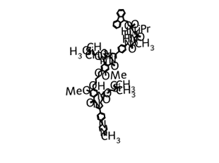 COc1cc2c(cc1OCCCOc1cc3c(cc1OC)C(=O)N1C=C(c4ccc(NC(=O)[C@H](C)NC(=O)[C@@H](NC(=O)OCC5c6ccccc6-c6ccccc65)C(C)C)cc4)C[C@H]1C(=O)N3COCC[Si](C)(C)C)N(COCC[Si](C)(C)C)C(=O)C1CC(c3ccc(N4CCN(C)CC4)cc3)=CN1C2=O